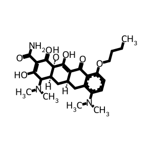 CCCCOc1ccc(N(C)C)c2c1C(=O)C1=C(O)[C@]3(O)C(=O)C(C(N)=O)=C(O)C(N(C)C)[C@@H]3C[C@@H]1C2